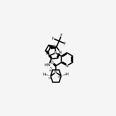 O=C(c1ncccc1-n1nccn1)N1[C@@H]2CC[C@H]1[C@H](Nc1cnc(C(F)(F)F)cn1)C2